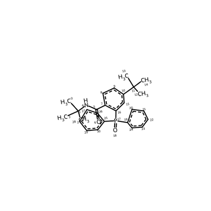 CC(C)(C)NC(=O)c1ccc(C(C)(C)C)cc1P(=O)(c1ccccc1)c1ccccc1